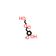 COc1cc(CC(=O)OCCCO)ccc1O